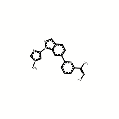 C/C(=N/O)c1cccc(-c2ccc3cnn(-c4cn(C)cn4)c3c2)n1